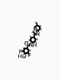 Cc1ccc2nc(-c3ccc(NC(=O)c4cc(F)c(O)c(F)c4)cc3)cn2c1